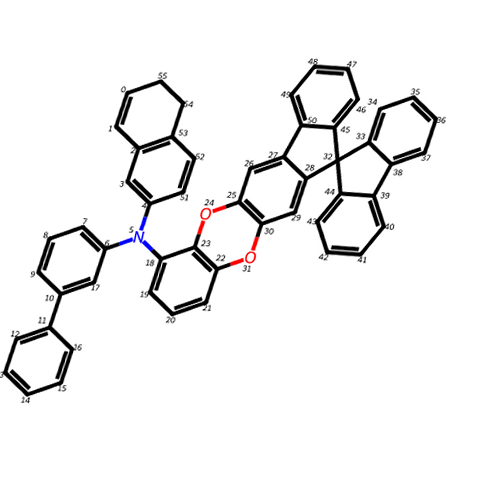 C1=Cc2cc(N(c3cccc(-c4ccccc4)c3)c3cccc4c3Oc3cc5c(cc3O4)C3(c4ccccc4-c4ccccc43)c3ccccc3-5)ccc2CC1